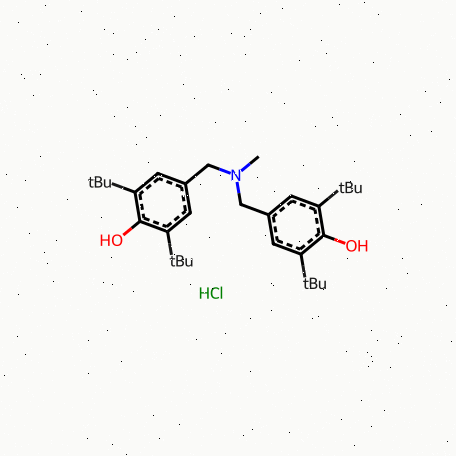 CN(Cc1cc(C(C)(C)C)c(O)c(C(C)(C)C)c1)Cc1cc(C(C)(C)C)c(O)c(C(C)(C)C)c1.Cl